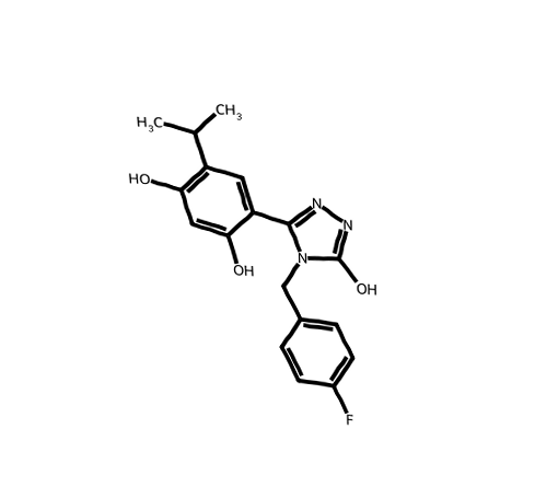 CC(C)c1cc(-c2nnc(O)n2Cc2ccc(F)cc2)c(O)cc1O